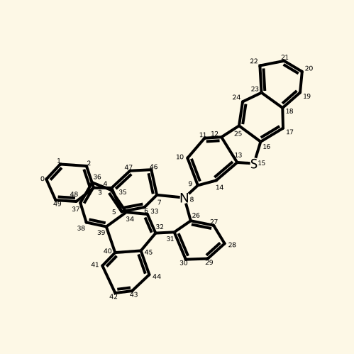 c1ccc(-c2ccc(N(c3ccc4c(c3)sc3cc5ccccc5cc34)c3ccccc3-c3cc4ccccc4c4ccccc34)cc2)cc1